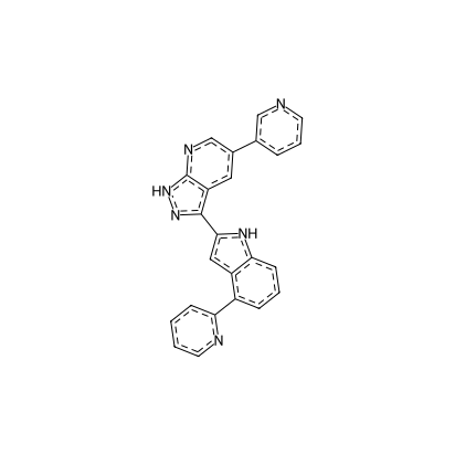 c1ccc(-c2cccc3[nH]c(-c4n[nH]c5ncc(-c6cccnc6)cc45)cc23)nc1